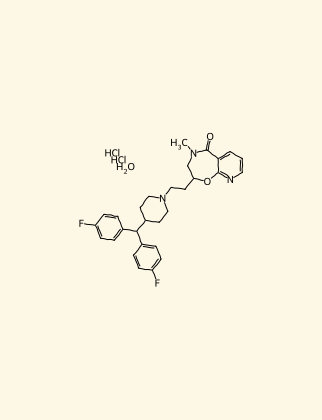 CN1CC(CCN2CCC(C(c3ccc(F)cc3)c3ccc(F)cc3)CC2)Oc2ncccc2C1=O.Cl.Cl.O